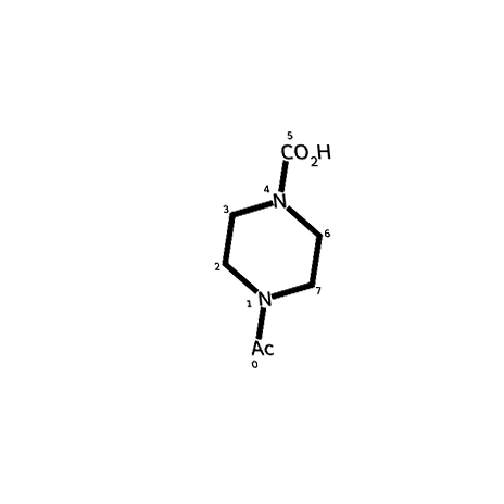 CC(=O)N1CCN(C(=O)O)CC1